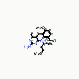 CCCC[C@@H](CCSC)Nc1nc(N)nc(C)c1Cc1cc(CCl)ccc1OC